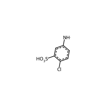 [NH]c1ccc(Cl)c(S(=O)(=O)O)c1